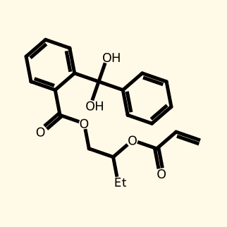 C=CC(=O)OC(CC)COC(=O)c1ccccc1C(O)(O)c1ccccc1